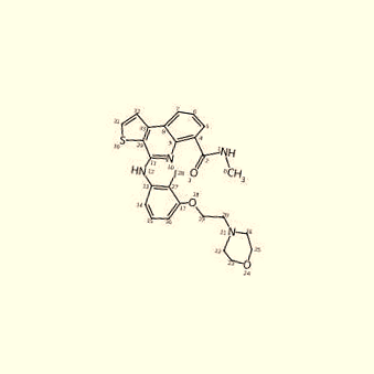 CNC(=O)c1cccc2c1nc(Nc1cccc(OCCN3CCOCC3)c1I)c1sccc12